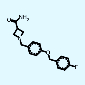 NC(=O)C1CN(Cc2ccc(OCc3ccc(F)cc3)cc2)C1